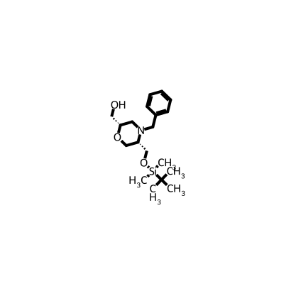 CC(C)(C)[Si](C)(C)OC[C@@H]1CO[C@H](CO)CN1Cc1ccccc1